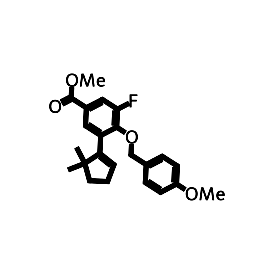 COC(=O)c1cc(F)c(OCc2ccc(OC)cc2)c(C2=CCCC2(C)C)c1